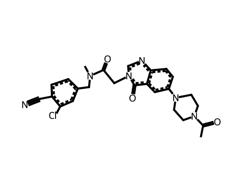 CC(=O)N1CCN(c2ccc3ncn(CC(=O)N(C)Cc4ccc(C#N)c(Cl)c4)c(=O)c3c2)CC1